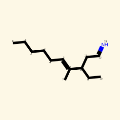 CCCCC/C=C(\C)C(CC)CC=N